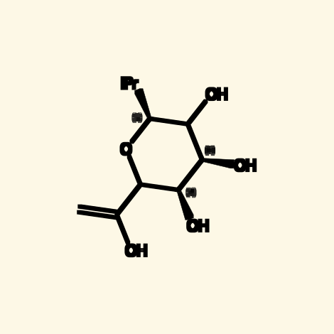 C=C(O)C1O[C@@H](C(C)C)C(O)[C@@H](O)[C@H]1O